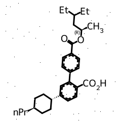 CCC[C@H]1CC[C@H](c2ccc(C(=O)O)c(-c3ccc(C(=O)O[C@H](C)CC(CC)CC)cc3)c2)CC1